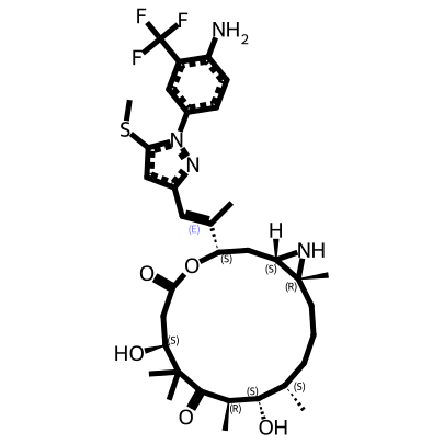 CSc1cc(/C=C(\C)[C@@H]2C[C@@H]3N[C@]3(C)CCC[C@H](C)[C@H](O)[C@@H](C)C(=O)C(C)(C)[C@@H](O)CC(=O)O2)nn1-c1ccc(N)c(C(F)(F)F)c1